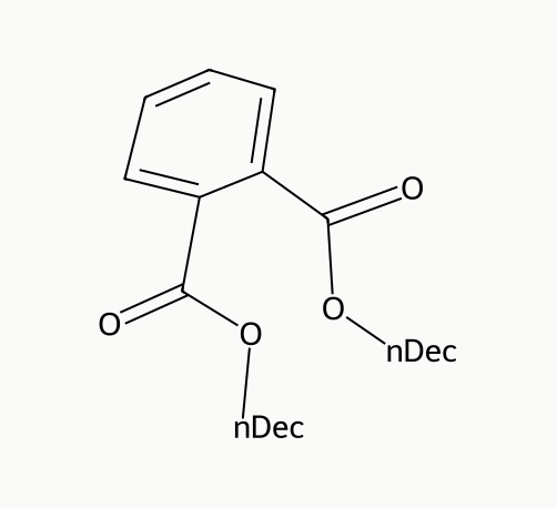 CCCCCCCCCCOC(=O)c1ccccc1C(=O)OCCCCCCCCCC